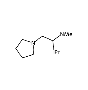 CNC(CN1CCCC1)C(C)C